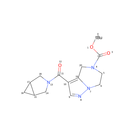 CC(C)(C)OC(=O)N1CCn2ncc(C(=O)N3CC4CC4C3)c2C1